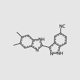 [C-]#[N+]c1ccc2[nH]nc(-c3nc4cc(C)c(C)cc4[nH]3)c2c1